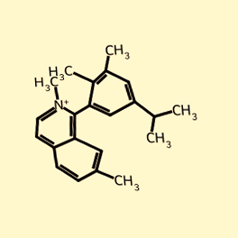 Cc1ccc2cc[n+](C)c(-c3cc(C(C)C)cc(C)c3C)c2c1